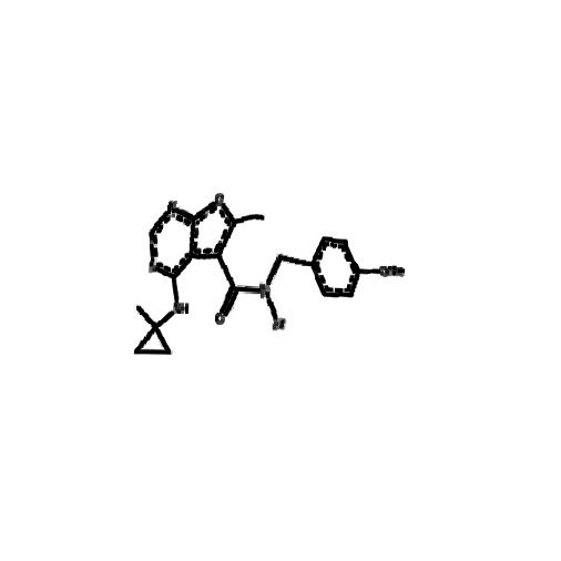 CCN(Cc1ccc(OC)cc1)C(=O)c1c(C)oc2ncnc(NC3(C)CC3)c12